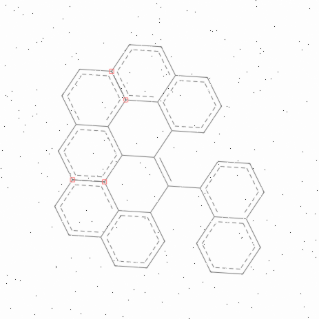 c1ccc2c(C(=C(c3cccc4ccccc34)c3cccc4ccccc34)c3cccc4ccccc34)cccc2c1